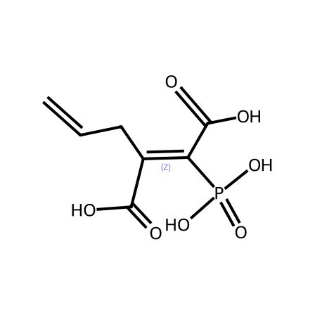 C=CC/C(C(=O)O)=C(\C(=O)O)P(=O)(O)O